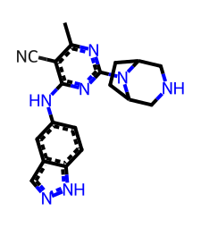 Cc1nc(N2C3CCC2CNC3)nc(Nc2ccc3[nH]ncc3c2)c1C#N